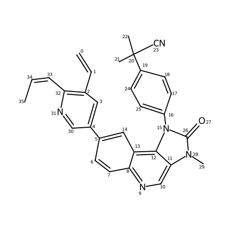 C=Cc1cc(-c2ccc3ncc4c(c3c2)n(-c2ccc(C(C)(C)C#N)cc2)c(=O)n4C)cnc1/C=C\C